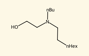 CCCCCCCCN(CCO)CCCC